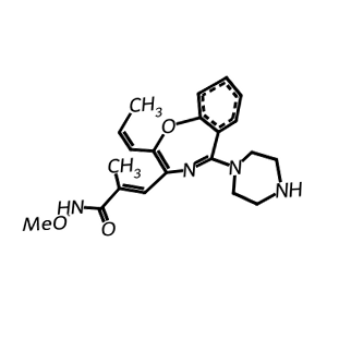 C/C=C\C1=C(/C=C(\C)C(=O)NOC)N=C(N2CCNCC2)c2ccccc2O1